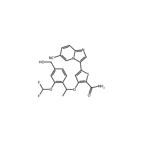 CC(Oc1cc(-c2cnc3ccc(C#N)cn23)sc1C(N)=O)c1ccc(CO)cc1OC(F)F